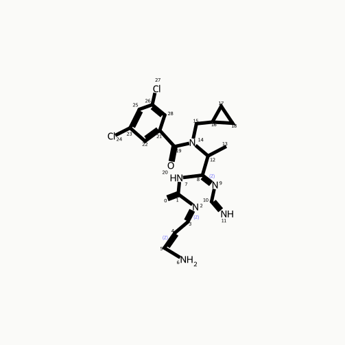 C=C(/N=C\C=C/N)N/C(=N\C=N)C(C)N(CC1CC1)C(=O)c1cc(Cl)cc(Cl)c1